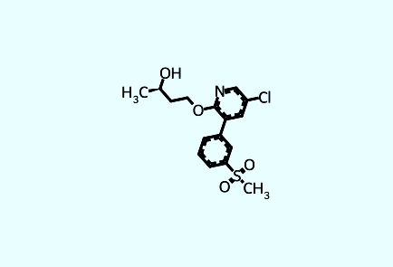 C[C@@H](O)CCOc1ncc(Cl)cc1-c1cccc(S(C)(=O)=O)c1